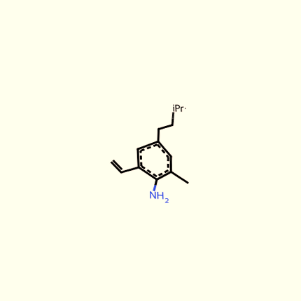 C=Cc1cc(CC[C](C)C)cc(C)c1N